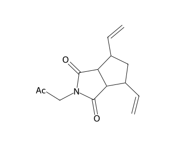 C=CC1CC(C=C)C2C(=O)N(CC(C)=O)C(=O)C12